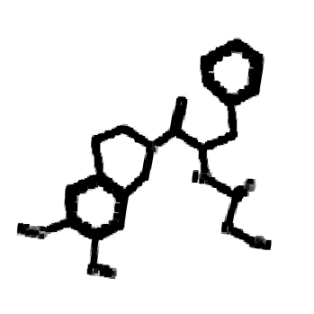 COc1cc2c(cc1OC)CN(C(=O)C(Cc1ccccc1)NC(=O)OC(C)(C)C)CC2